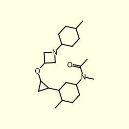 CC(=O)N(C)C1CCC(C)C(C2CC2OC2CN(C3CCC(C)CC3)C2)C1